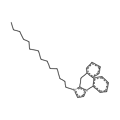 CCCCCCCCCCCCCC[n+]1ccn(-c2ccccc2)c1Cc1ccccc1